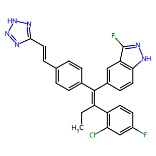 CCC(=C(c1ccc(C=Cc2nn[nH]n2)cc1)c1ccc2[nH]nc(F)c2c1)c1ccc(F)cc1Cl